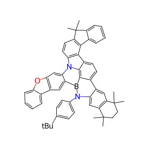 CC(C)(C)c1ccc(N2B3c4cc5c(cc4-n4c6ccc7c(c6c6ccc(c3c64)-c3cc4c(cc32)C(C)(C)CCC4(C)C)-c2ccccc2C7(C)C)oc2ccccc25)cc1